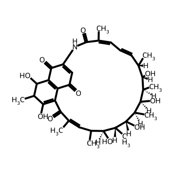 C/C1=C/C=C/[C@H](C)[C@H](O)[C@@H](C)[C@@H](O)[C@@H](C)[C@H](O)[C@H](C)[C@@H](O)C(C)/C=C(/C)C(=O)C2=C(O)C(C)C(O)C3=C2C(=O)C=C(NC1=O)C3=O